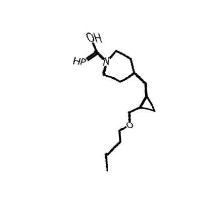 CCCCOCC1CC1CC1CCN(C(O)=P)CC1